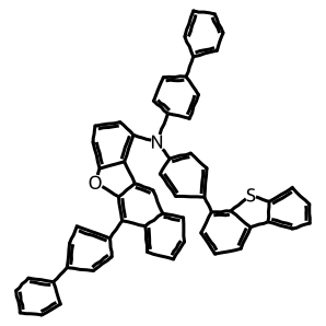 c1ccc(-c2ccc(-c3c4ccccc4cc4c3oc3cccc(N(c5ccc(-c6ccccc6)cc5)c5ccc(-c6cccc7c6sc6ccccc67)cc5)c34)cc2)cc1